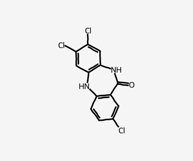 O=C1Nc2cc(Cl)c(Cl)cc2Nc2ccc(Cl)cc21